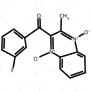 Cc1c(C(=O)c2cccc(F)c2)[n+]([O-])c2ccccc2[n+]1[O-]